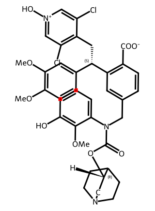 COc1ccc([C@H](Cc2c(Cl)c[n+](O)cc2Cl)c2cc(CN(C(=O)O[C@H]3CN4CCC3CC4)c3cccc(O)c3OC)ccc2C(=O)[O-])cc1OC